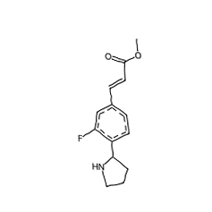 COC(=O)/C=C/c1ccc(C2CCCN2)c(F)c1